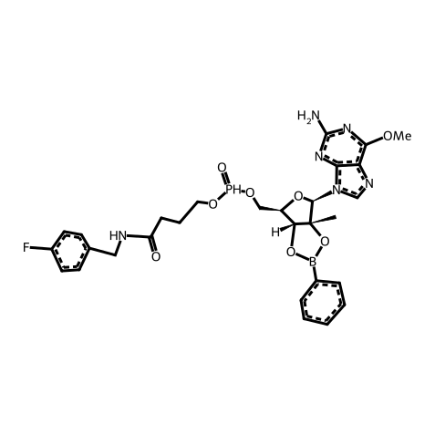 COc1nc(N)nc2c1ncn2[C@@H]1O[C@H](CO[PH](=O)OCCCC(=O)NCc2ccc(F)cc2)[C@H]2OB(c3ccccc3)O[C@]21C